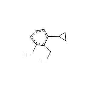 CCc1c(C)cccc1C1CC1